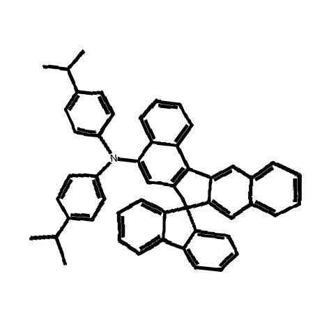 CC(C)c1ccc(N(c2ccc(C(C)C)cc2)c2cc3c(c4ccccc24)-c2cc4ccccc4cc2C32c3ccccc3-c3ccccc32)cc1